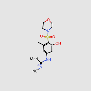 CN/C(=N\C#N)Nc1cc(C)c(S(=O)(=O)N2CCOCC2)c(O)c1